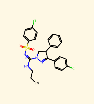 N#CCCN/C(=N/S(=O)(=O)c1ccc(Cl)cc1)N1CC(c2ccccc2)C(c2ccc(Cl)cc2)=N1